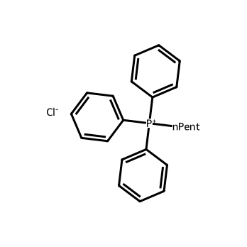 CCCCC[P+](c1ccccc1)(c1ccccc1)c1ccccc1.[Cl-]